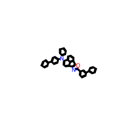 c1ccc(-c2ccc(N(c3ccccc3)c3ccc4c5c(cccc35)-c3oc(-c5cccc(-c6ccccc6)c5)nc3-4)cc2)cc1